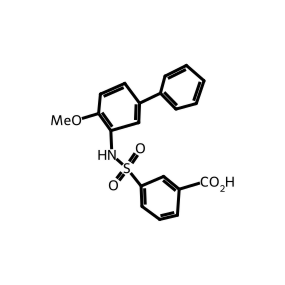 COc1ccc(-c2ccccc2)cc1NS(=O)(=O)c1cccc(C(=O)O)c1